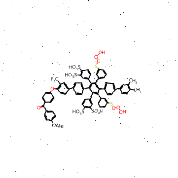 COc1ccc(C(=O)c2ccc(Oc3ccc(-c4ccc(-c5c(-c6ccc(S(=O)(=O)O)c(S(=O)(=O)O)c6)c(-c6cccc(SOOO)c6)c(-c6ccc(-c7ccc(C)c(C)c7)cc6)c(-c6cccc(SOOO)c6)c5-c5ccc(S(=O)(=O)O)c(S(=O)(=O)O)c5)cc4)cc3C(F)(F)F)cc2)cc1